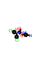 N#Cc1ccc(C(=O)NC2CN(C(c3ccc(Cl)cc3)c3ccc(Cl)cc3)CC2CO)cc1